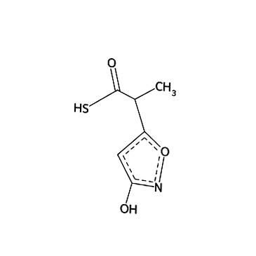 CC(C(=O)S)c1cc(O)no1